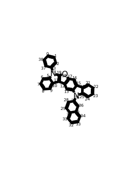 c1ccc(-n2c3ccccc3c3c4cc5c(cc4oc32)c2ccccc2n5-c2ccc3ccccc3c2)cc1